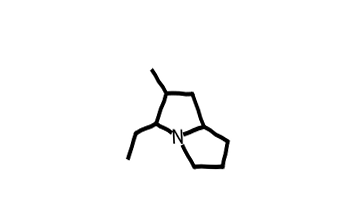 CCC1C(C)CC2CCCN21